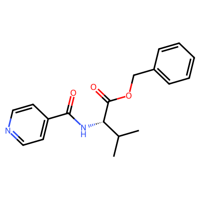 CC(C)[C@H](NC(=O)c1ccncc1)C(=O)OCc1ccccc1